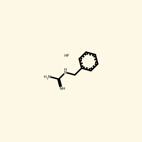 F.N=C(N)NCc1ccccc1